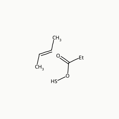 CC=CC.CCC(=O)OS